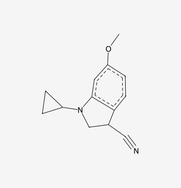 COc1ccc2c(c1)N(C1CC1)CC2C#N